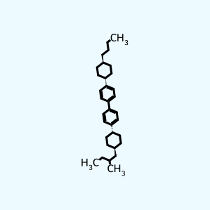 CCCC[C@H]1CC[C@H](c2ccc(-c3ccc([C@H]4CC[C@H](CC(C)CC)CC4)cc3)cc2)CC1